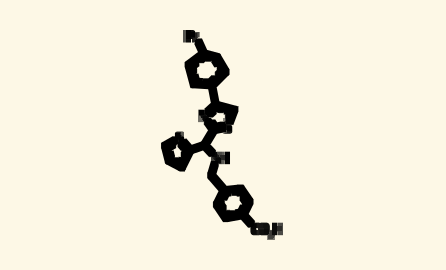 CC(C)c1ccc(-c2csc(C(NCc3ccc(C(=O)O)cc3)c3cccs3)n2)cc1